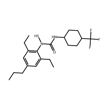 CCCc1cc(CC)c(N(S)C(=O)NC2CCC(C(F)(F)F)CC2)c(CC)c1